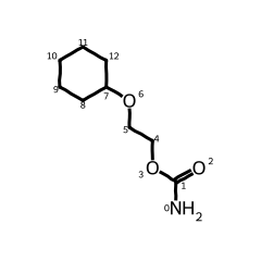 NC(=O)OCCOC1CCCCC1